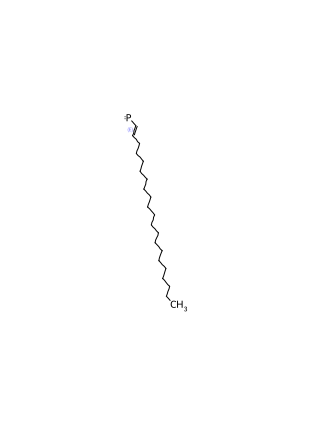 CCCCCCCCCCCCCCCCCCC/C=C/[P]